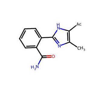 CC(=O)c1[nH]c(-c2ccccc2C(N)=O)nc1C